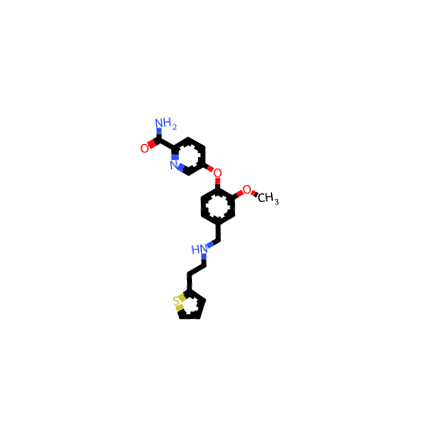 COc1cc(CNCCc2cccs2)ccc1Oc1ccc(C(N)=O)nc1